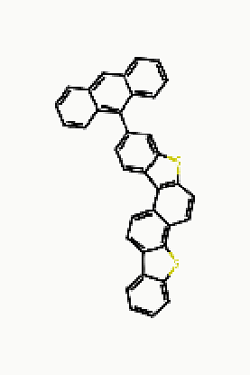 c1ccc2c(-c3ccc4c(c3)sc3ccc5c(ccc6c7ccccc7sc65)c34)c3ccccc3cc2c1